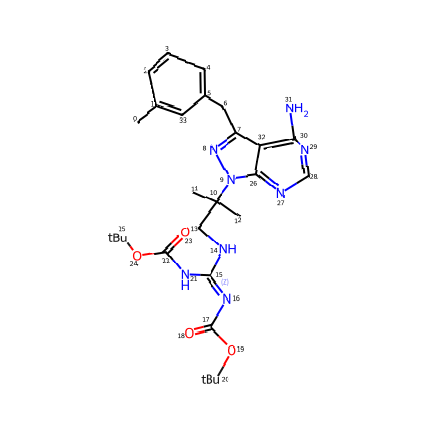 Cc1cccc(Cc2nn(C(C)(C)CN/C(=N/C(=O)OC(C)(C)C)NC(=O)OC(C)(C)C)c3ncnc(N)c23)c1